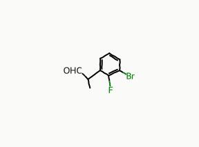 CC(C=O)c1cccc(Br)c1F